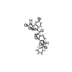 O=C(Nc1ccc(Br)cc1-c1noc(=O)[nH]1)c1noc2cc(NS(=O)(=O)c3ccccc3)ccc12